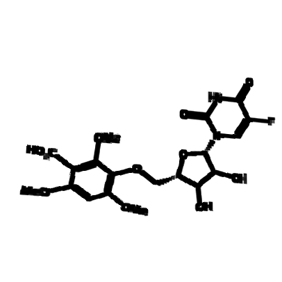 COc1cc(OC)c(C(=O)O)c(OC)c1OC[C@@H]1O[C@H](n2cc(F)c(=O)[nH]c2=O)C(O)C1O